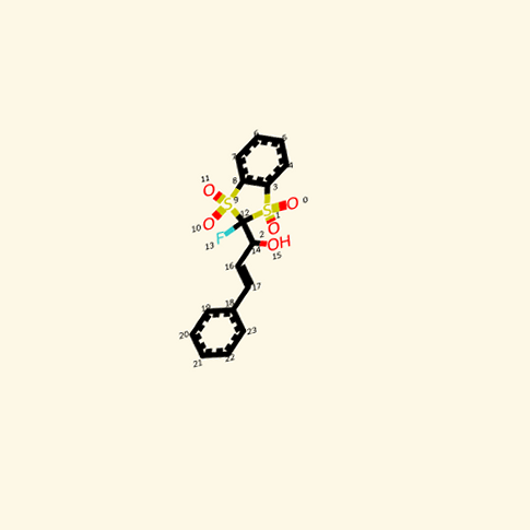 O=S1(=O)c2ccccc2S(=O)(=O)C1(F)C(O)C=Cc1ccccc1